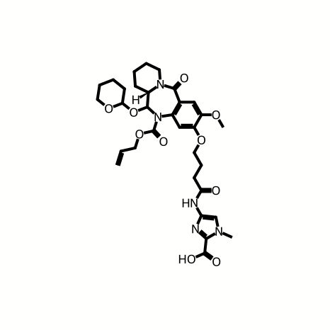 C=CCOC(=O)N1c2cc(OCCCC(=O)Nc3cn(C)c(C(=O)O)n3)c(OC)cc2C(=O)N2CCCC[C@H]2C1OC1CCCCO1